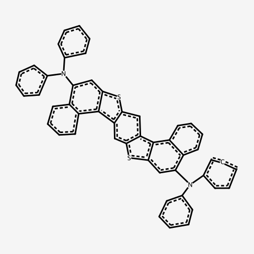 c1ccc(N(c2ccccc2)c2cc3sc4cc5c(cc4c3c3ccccc23)sc2cc(N(c3ccccc3)c3ccccc3)c3ccccc3c25)cc1